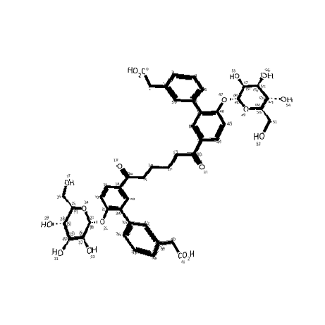 O=C(O)Cc1cccc(-c2cc(C(=O)CCCCC(=O)c3ccc(O[C@H]4O[C@H](CO)[C@@H](O)[C@H](O)[C@@H]4O)c(-c4cccc(CC(=O)O)c4)c3)ccc2O[C@H]2O[C@H](CO)[C@@H](O)[C@H](O)[C@@H]2O)c1